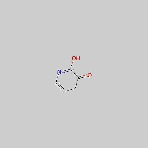 O=C1CC=CN=C1O